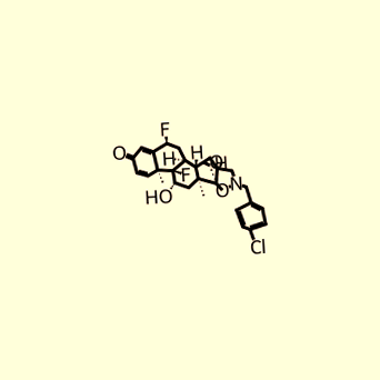 CC(=O)[C@@]12ON(Cc3ccc(Cl)cc3)C[C@@H]1C[C@H]1[C@@H]3C[C@H](F)C4=CC(=O)C=C[C@]4(C)[C@@]3(F)[C@@H](O)C[C@@]12C